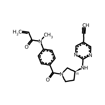 C#Cc1cnc(N[C@H]2CCN(C(=O)c3ccc(N(C)C(=O)C=C)cc3)C2)nc1